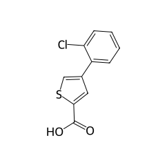 O=C(O)c1cc(-c2ccccc2Cl)cs1